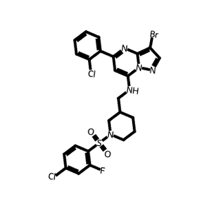 O=S(=O)(c1ccc(Cl)cc1F)N1CCCC(CNc2cc(-c3ccccc3Cl)nc3c(Br)cnn23)C1